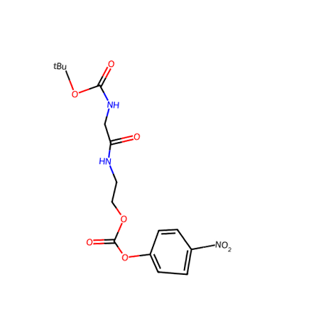 CC(C)(C)OC(=O)NCC(=O)NCCOC(=O)Oc1ccc([N+](=O)[O-])cc1